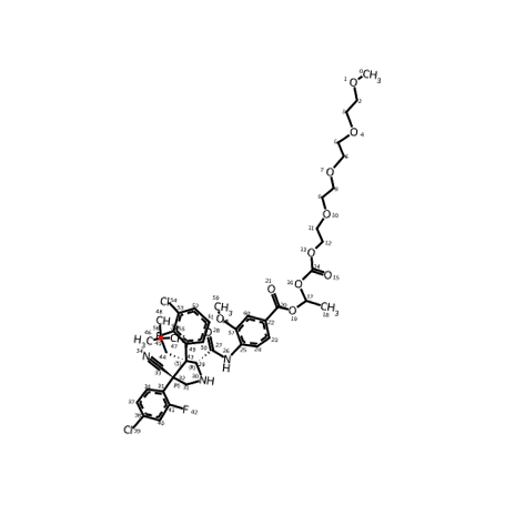 COCCOCCOCCOCCOC(=O)OC(C)OC(=O)c1ccc(NC(=O)[C@@H]2NC[C@](C#N)(c3ccc(Cl)cc3F)[C@@]2(CC(C)(C)C)c2cccc(Cl)c2F)c(OC)c1